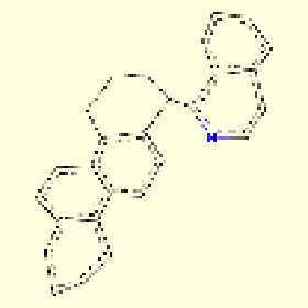 c1ccc2c(C3CCCc4c3ccc3c4ccc4ccccc43)nccc2c1